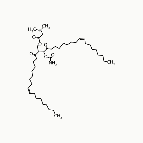 CCCCCCCC/C=C\CCCCCCCC(=O)C(COC(=O)CN(C)C)C(OC(N)=O)C(=O)CCCCCCC/C=C\CCCCCCCC